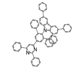 c1ccc(-c2ccc3c(c2)c2cc(-c4ccccc4)cc(-c4ccccc4)c2n3-c2c(-c3ccccc3)cc(-c3cc(-c4ccccc4)nc(-c4ccccc4)n3)cc2-c2ccccc2)cc1